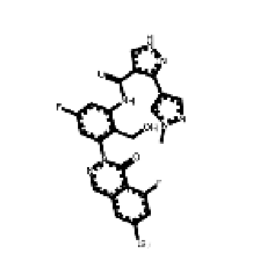 Cn1cc(-c2n[nH]cc2C(=O)Nc2cc(F)cc(-n3ncc4cc(C(C)(C)C)cc(F)c4c3=O)c2CO)cn1